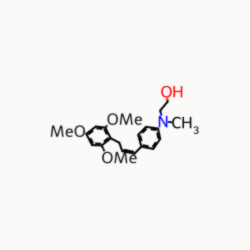 COc1cc(OC)c(C/C=C\c2ccc(N(C)CCO)cc2)c(OC)c1